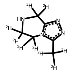 [2H]C([2H])([2H])c1nnc2n1C([2H])([2H])C([2H])([2H])NC2([2H])[2H]